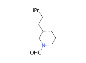 CC(C)CCC1CCCN(C=O)C1